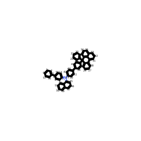 c1ccc(-c2ccc(N(c3ccc(-c4ccc(C5(c6ccccc6)c6ccccc6-c6cccc7cccc5c67)cc4)cc3)c3cccc4ccccc34)cc2)cc1